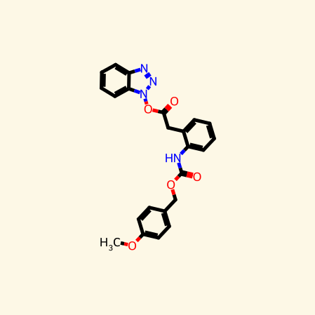 COc1ccc(COC(=O)Nc2ccccc2CC(=O)On2nnc3ccccc32)cc1